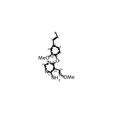 CC=Cc1ccc(Oc2ncnc(N)c2C=NOC)c(OC)c1